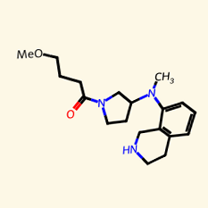 COCCCC(=O)N1CCC(N(C)c2cccc3c2CNCC3)C1